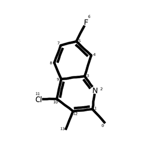 Cc1nc2cc(F)ccc2c(Cl)c1C